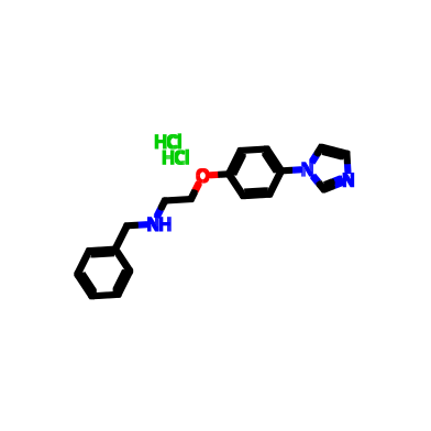 Cl.Cl.c1ccc(CNCCOc2ccc(-n3ccnc3)cc2)cc1